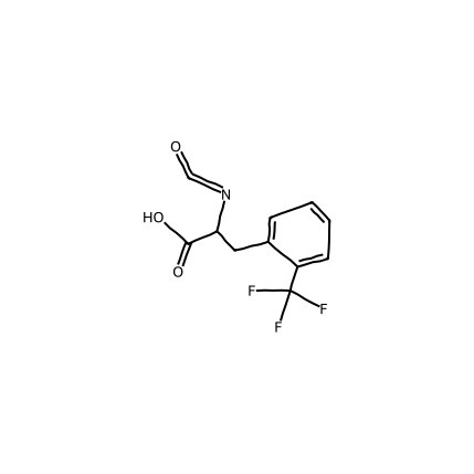 O=C=NC(Cc1ccccc1C(F)(F)F)C(=O)O